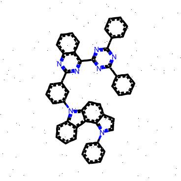 c1ccc(-c2nc(-c3ccccc3)nc(-c3nc(-c4cccc(-n5c6ccccc6c6c7c(ccc65)ccn7-c5ccccc5)c4)nc4ccccc34)n2)cc1